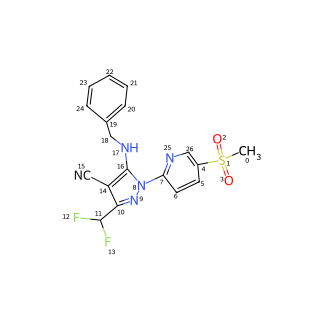 CS(=O)(=O)c1ccc(-n2nc(C(F)F)c(C#N)c2NCc2ccccc2)nc1